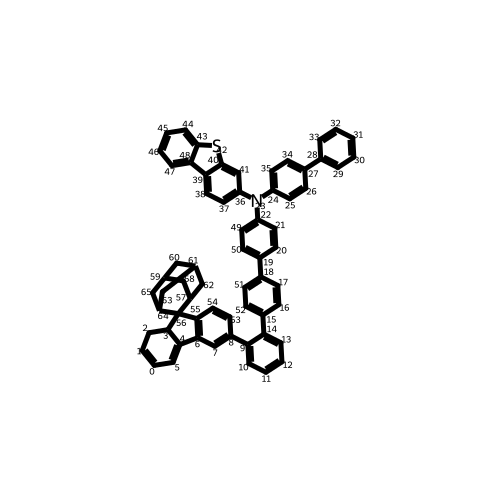 C1=CCC2C(=C1)c1cc(-c3ccccc3-c3ccc(-c4ccc(N(c5ccc(-c6ccccc6)cc5)c5ccc6c(c5)sc5ccccc56)cc4)cc3)ccc1C21C2CC3CC(C2)CC1C3